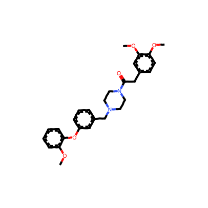 COc1ccc(CC(=O)N2CCN(Cc3cccc(Oc4ccccc4OC)c3)CC2)cc1OC